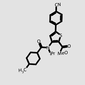 COC(=O)c1sc(-c2ccc(C#N)cc2)cc1N(C(=O)C1CCC(C)CC1)C(C)C